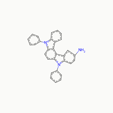 Nc1ccc2c(c1)c1c3c4ccccc4n(-c4ccccc4)c3ccc1n2-c1ccccc1